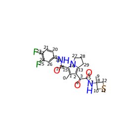 Cc1c(C(=O)C(=O)NC2(C)CSC2)c2n(c1C(=O)Nc1ccc(F)c(F)c1)CCC2